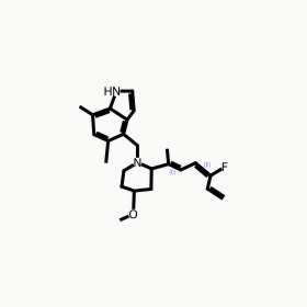 C=C/C(F)=C\C=C(/C)C1CC(OC)CCN1Cc1c(C)cc(C)c2[nH]ccc12